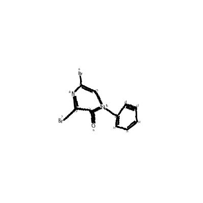 O=c1c(Br)nc(Br)cn1-c1ccccc1